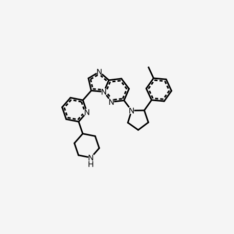 Cc1cccc(C2CCCN2c2ccc3ncc(-c4cccc(C5CCNCC5)n4)n3n2)c1